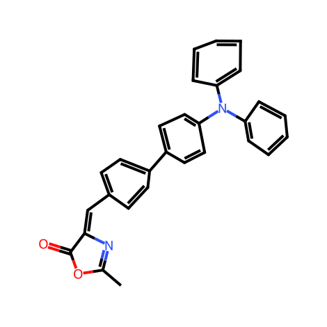 CC1=N/C(=C\c2ccc(-c3ccc(N(c4ccccc4)c4ccccc4)cc3)cc2)C(=O)O1